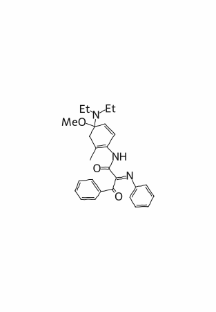 CCN(CC)C1(OC)C=CC(NC(=O)C(=Nc2ccccc2)C(=O)c2ccccc2)=C(C)C1